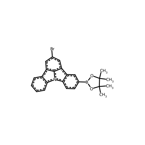 CC1(C)OB(c2ccc3c(c2)c2cc(Br)cc4c5ccccc5n3c42)OC1(C)C